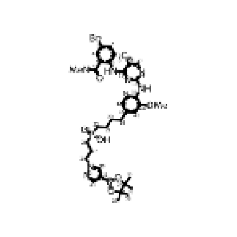 CNC(=O)c1cc(Br)ccc1Nc1nc(Nc2ccc(CCCCP(=O)(O)CCCn3cc(B4OC(C)(C)C(C)(C)O4)cn3)cc2OC)ncc1C(F)(F)F